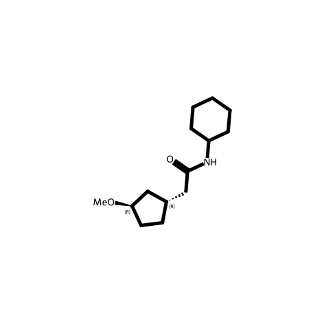 CO[C@@H]1CC[C@@H](CC(=O)NC2CCCCC2)C1